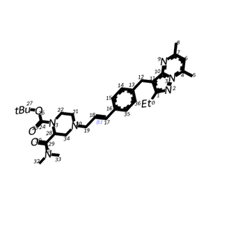 CCc1nn2c(C)cc(C)nc2c1Cc1ccc(/C=C/CN2CCN(C(=O)OC(C)(C)C)C(C(=O)N(C)C)C2)cc1